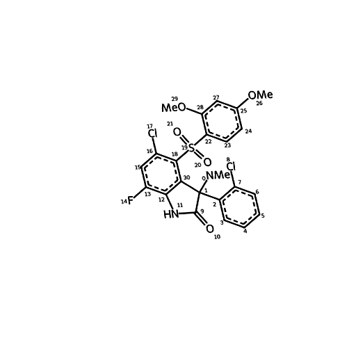 CNC1(c2ccccc2Cl)C(=O)Nc2c(F)cc(Cl)c(S(=O)(=O)c3ccc(OC)cc3OC)c21